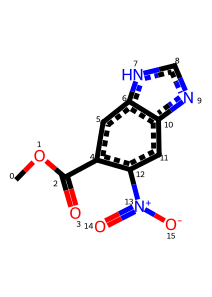 COC(=O)c1cc2[nH]cnc2cc1[N+](=O)[O-]